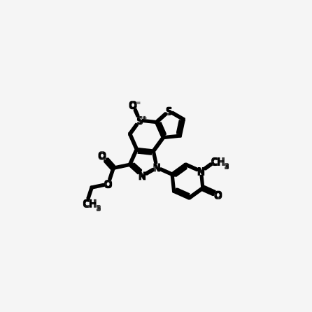 CCOC(=O)c1nn(-c2ccc(=O)n(C)c2)c2c1C[S+]([O-])c1sccc1-2